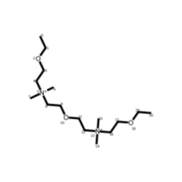 CCOCC[N+](C)(C)CCOCC[N+](C)(C)CCOCC